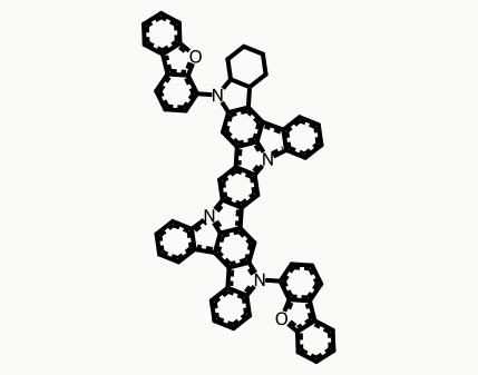 c1ccc2c(c1)oc1c(N3c4cc5c6cc7c(cc6n6c8ccccc8c(c4C4CCCCC43)c56)c3cc4c(c5ccccc5n4-c4cccc5c4oc4ccccc45)c4c5ccccc5n7c34)cccc12